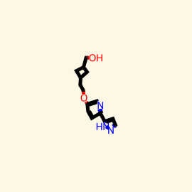 OCC1CC(CCOc2ccc(-c3ccn[nH]3)nc2)C1